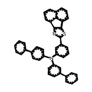 c1ccc(-c2ccc(N(c3cccc(-c4ccccc4)c3)c3cccc(-c4nc5c(s4)-c4cccc6cccc-5c46)c3)cc2)cc1